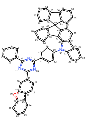 C1=C(c2nc(-c3ccccc3)nc(-c3ccc4c(c3)oc3ccccc34)n2)CCC(n2c3ccccc3c3ccc4c(c32)-c2ccccc2C42c3ccccc3-c3ccccc32)=C1